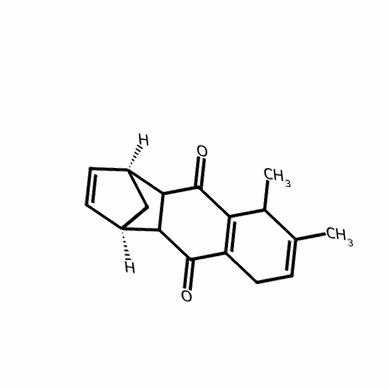 CC1=CCC2=C(C(=O)C3C(C2=O)[C@H]2C=C[C@@H]3C2)C1C